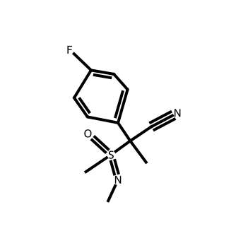 CN=S(C)(=O)C(C)(C#N)c1ccc(F)cc1